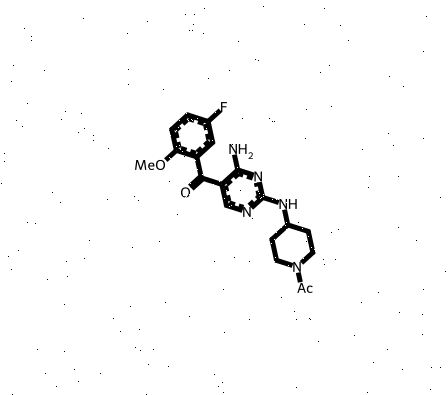 COc1ccc(F)cc1C(=O)c1cnc(NC2CCN(C(C)=O)CC2)nc1N